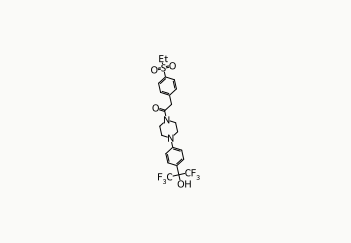 CCS(=O)(=O)c1ccc(CC(=O)N2CCN(c3ccc(C(O)(C(F)(F)F)C(F)(F)F)cc3)CC2)cc1